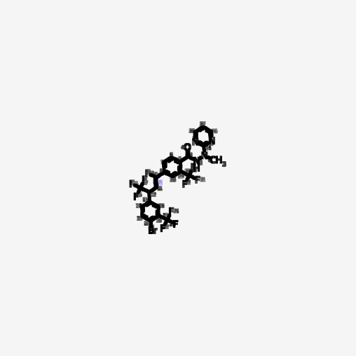 CN(NC(=O)c1ccc(/C(F)=C/C(c2ccc(Br)c(C(F)(F)F)c2)C(F)(F)F)cc1C(F)(F)F)c1ncccn1